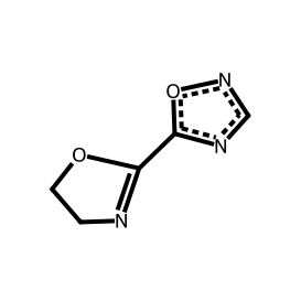 c1noc(C2=NCCO2)n1